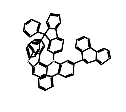 c1ccc(-c2ccc(-c3cc4ccccc4c4ccccc34)cc2N(c2ccc3c(c2)C(c2ccccc2)(c2ccccc2)c2ccccc2-3)c2cccc3sc4ccccc4c23)cc1